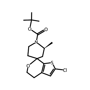 C[C@H]1CC2(CCN1C(=O)OC(C)(C)C)OCCc1cc(Cl)sc12